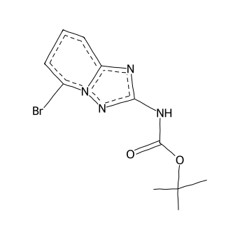 CC(C)(C)OC(=O)Nc1nc2cccc(Br)n2n1